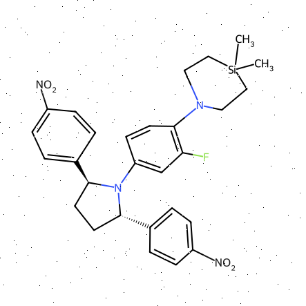 C[Si]1(C)CCN(c2ccc(N3[C@H](c4ccc([N+](=O)[O-])cc4)CC[C@H]3c3ccc([N+](=O)[O-])cc3)cc2F)CC1